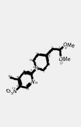 COC(CC1CCN(c2cc(C)c([N+](=O)[O-])cn2)CC1)OC